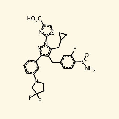 N[S+]([O-])c1ccc(Cc2c(-c3cccc(N4CCC(F)(F)C4)c3)nn(-c3nc(C(=O)O)cs3)c2CC2CC2)cc1F